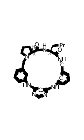 CC(C)C[C@@H]1NC(=O)[C@@H]2CCCN2Cc2cccc(c2)Nc2cc(ncn2)Nc2cccc(c2)CNC1=O